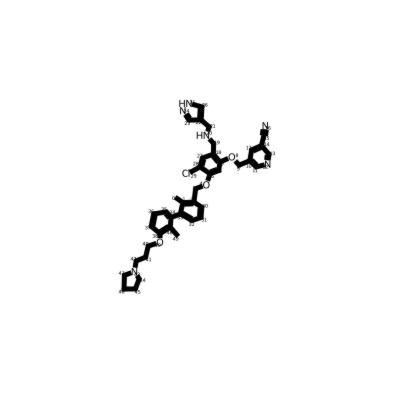 Cc1c(COc2cc(OCc3cncc(C#N)c3)c(CNCc3cn[nH]c3)cc2Cl)cccc1-c1cccc(OCCCN2CCCC2)c1C